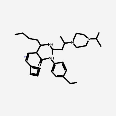 CCCCC(NC(C)CC(C)N1CCN(C(C)C)CC1)C(/C=C\C1=C=C=C1)C(=O)Nc1ccc(CC)cc1